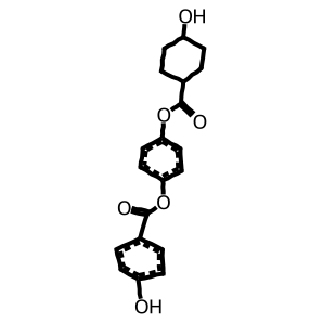 O=C(Oc1ccc(OC(=O)C2CCC(O)CC2)cc1)c1ccc(O)cc1